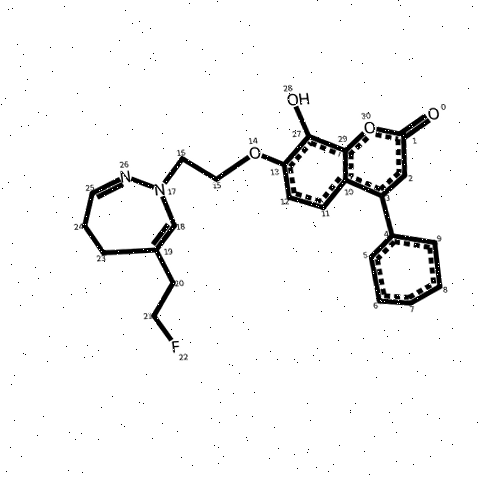 O=c1cc(-c2ccccc2)c2ccc(OCCN3C=C(CCF)CCC=N3)c(O)c2o1